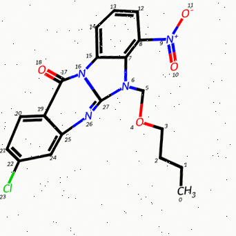 CCCCOCn1c2c([N+](=O)[O-])cccc2n2c(=O)c3ccc(Cl)cc3nc12